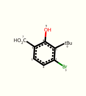 CC(C)(C)c1c(Br)ccc(C(=O)O)c1O